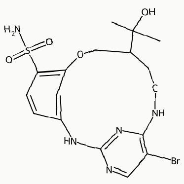 CC(C)(O)C1CCNc2nc(ncc2Br)Nc2ccc(S(N)(=O)=O)c(c2)OC1